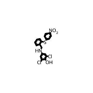 O=[N+]([O-])c1ccc(Sc2ccccc2CNc2cc(Cl)c(O)c(Cl)c2)cc1